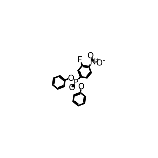 O=[N+]([O-])c1ccc(P(=O)(Oc2ccccc2)Oc2ccccc2)cc1F